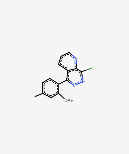 COc1cc(C)ccc1-c1nnc(Cl)c2ncccc12